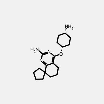 Nc1nc(O[C@H]2CC[C@@H](N)CC2)c2c(n1)C1(CCCC1)CCC2